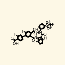 COc1cc(F)c(-c2ccc(C(=O)O)c(F)c2)cc1C(=O)N[C@H]1[C@@H](C(=O)Nc2cccc(S(=O)(=O)C(F)(F)F)c2)[C@@H]2C=C[C@H]1C2